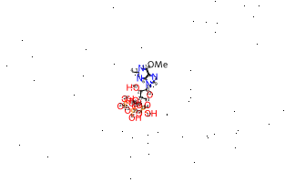 COc1nc(C)nc2c1ncn2C1OC(OP(=O)(O)OP(=O)(O)OP(=O)(O)O)C(O)C1O